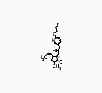 C/C=C\C1CC(C)=C(Cl)/C1=C/NCc1ccc(OCCF)nc1